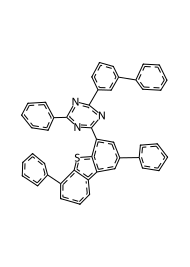 c1ccc(-c2cccc(-c3nc(-c4ccccc4)nc(-c4cc(-c5ccccc5)cc5c4sc4c(-c6ccccc6)cccc45)n3)c2)cc1